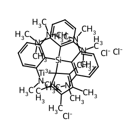 CC1=C(C)[C]([Ti+3])([Si](c2c(N(C)C)cccc2N(C)C)(c2c(N(C)C)cccc2N(C)C)c2c(N(C)C)cccc2N(C)C)C(C)=C1C.[Cl-].[Cl-].[Cl-]